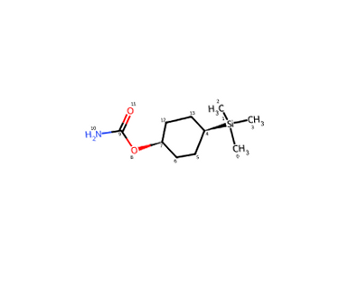 C[Si](C)(C)[C@H]1CC[C@@H](OC(N)=O)CC1